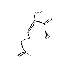 C=C(C)CCC=C(CCC)C(=O)CC